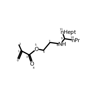 C=C(C)C(=O)OCCNC(CCC)CCCCCCC